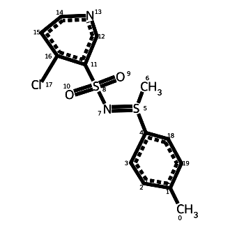 Cc1ccc(S(C)=NS(=O)(=O)c2cnccc2Cl)cc1